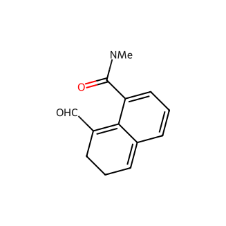 CNC(=O)c1cccc2c1=C(C=O)CCC=2